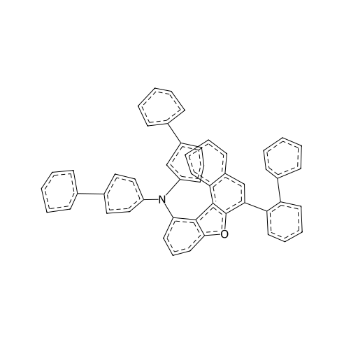 c1ccc(-c2ccc(N(c3cccc(-c4ccccc4)c3)c3cccc4oc5c(-c6ccccc6-c6ccccc6)cc6ccccc6c5c34)cc2)cc1